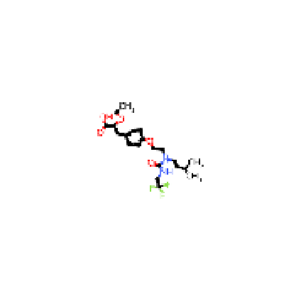 CCOC(Cc1ccc(OCCN(CCC(C)C)C(=O)NCC(F)(F)F)cc1)C(=O)O